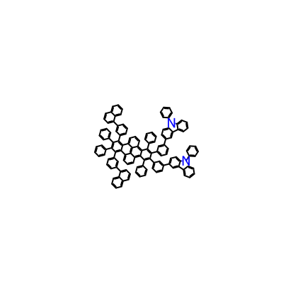 c1ccc(-c2c(-c3ccccc3)c(-c3cccc(-c4cccc5ccccc45)c3)c3c4cccc5c6c(-c7ccccc7)c(-c7cccc(-c8ccc9c(c8)c8ccccc8n9-c8ccccc8)c7)c(-c7cccc(-c8ccc9c(c8)c8ccccc8n9-c8ccccc8)c7)c(-c7ccccc7)c6c6cccc(c3c2-c2cccc(-c3cccc7ccccc37)c2)c6c54)cc1